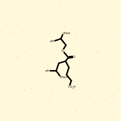 CCCCCC(CCC)COC(=O)C(CCCC(=O)O)CC(CCC)CCCCC